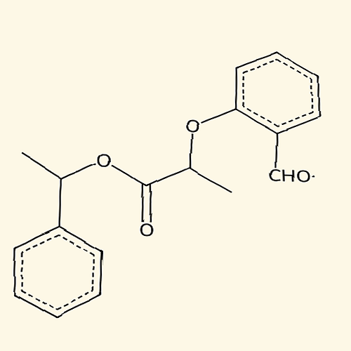 CC(Oc1ccccc1[C]=O)C(=O)OC(C)c1ccccc1